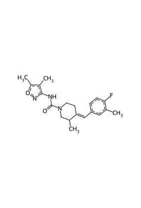 Cc1cc(/C=C2\CCN(C(=O)Nc3noc(C)c3C)CC2C)ccc1F